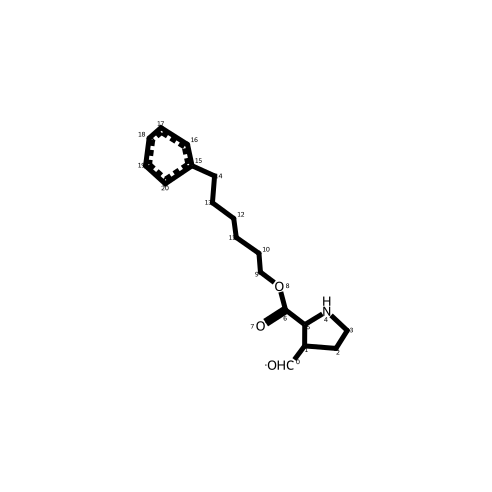 O=[C]C1CCNC1C(=O)OCCCCCCc1ccccc1